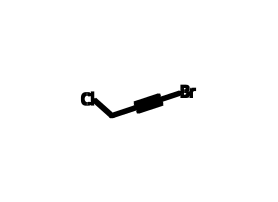 ClCC#CBr